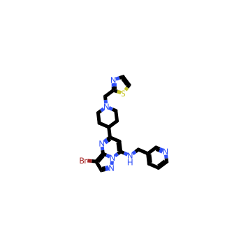 Brc1cnn2c(NCc3cccnc3)cc(C3CCN(Cc4nccs4)CC3)nc12